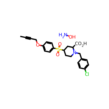 CC#CCOc1ccc(S(=O)(=O)C2CCN(Cc3ccc(Cl)cc3)C(C(=O)O)C2)cc1.NO